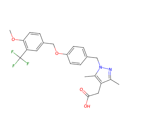 COc1ccc(COc2ccc(Cn3nc(C)c(CC(=O)O)c3C)cc2)cc1C(F)(F)F